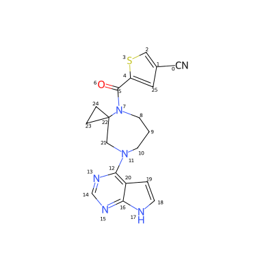 N#Cc1csc(C(=O)N2CCCN(c3ncnc4[nH]ccc34)CC23CC3)c1